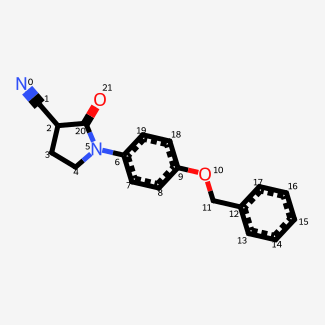 N#CC1CCN(c2ccc(OCc3ccccc3)cc2)C1=O